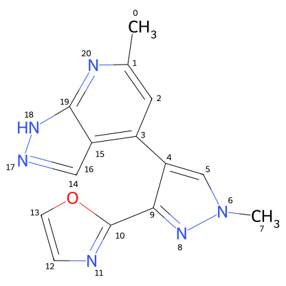 Cc1cc(-c2cn(C)nc2-c2ncco2)c2cn[nH]c2n1